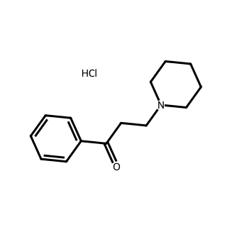 Cl.O=C(CCN1CCCCC1)c1ccccc1